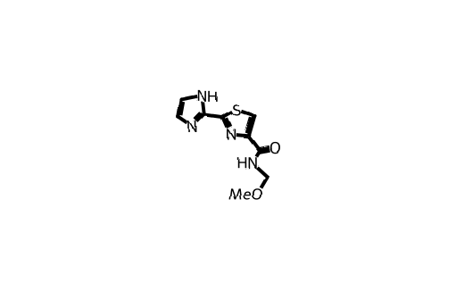 COCNC(=O)c1csc(-c2ncc[nH]2)n1